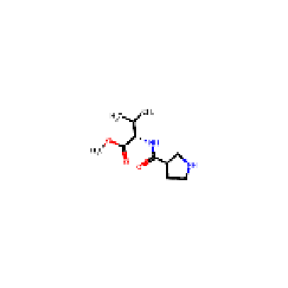 COC(=O)[C@@H](NC(=O)C1CCNC1)C(C)C